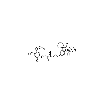 COc1cc(OCC(=O)NCCCc2cccc(C3(C(=O)O[C@H]4CN5CCC4CC5)CCCCC3)c2)c(Cl)cc1C=O